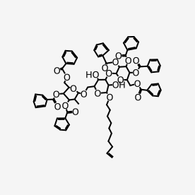 C=CCCCCCCCCOC1OC(COC2OC(COC(=O)c3ccccc3)C(OC(=O)c3ccccc3)C(OC(=O)c3ccccc3)C2C)C(O)C(OC2OC(COC(=O)c3ccccc3)C(OC(=O)c3ccccc3)C(OC(=O)c3ccccc3)C2OC(=O)c2ccccc2)C1O